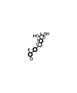 COc1ccc(F)c(-c2ccc(C3CCc4ccc([C@H](O)C(C)C(=O)O)nc4O3)cc2)c1